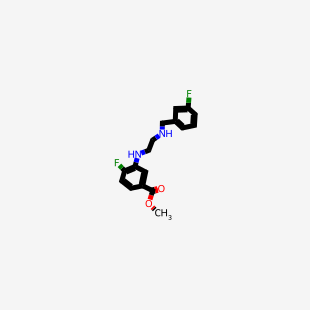 COC(=O)c1ccc(F)c(NCCNCc2cccc(F)c2)c1